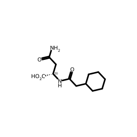 NC(=O)C[C@H](NC(=O)CC1CCCCC1)C(=O)O